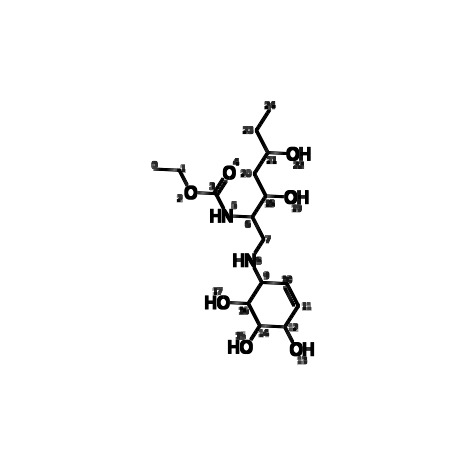 CCOC(=O)NC(CNC1C=CC(O)C(O)C1O)C(O)CC(O)CC